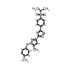 Cc1ccc(Cn2nc(-c3nc(-c4ccc(S(=O)(=O)C(C)C)cc4)no3)cc2C)cc1